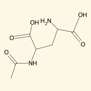 CC(=O)NC(CC(N)C(=O)O)C(=O)O